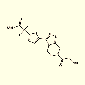 CNC(=O)C(F)(F)c1ccc(-c2nnc3n2CCN(C(=O)OC(C)(C)C)C3)o1